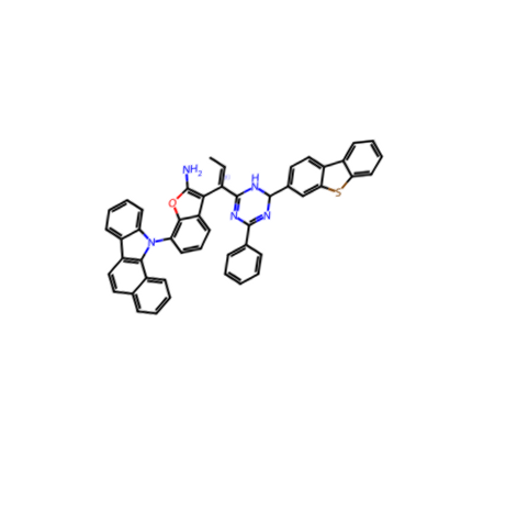 C/C=C(/C1=NC(c2ccccc2)=NC(c2ccc3c(c2)sc2ccccc23)N1)c1c(N)oc2c(-n3c4ccccc4c4ccc5ccccc5c43)cccc12